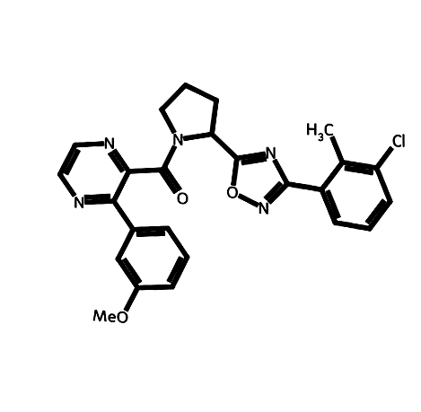 COc1cccc(-c2nccnc2C(=O)N2CCCC2c2nc(-c3cccc(Cl)c3C)no2)c1